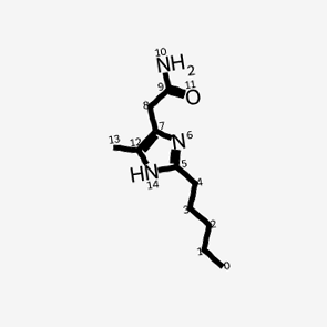 CCCCCc1nc(CC(N)=O)c(C)[nH]1